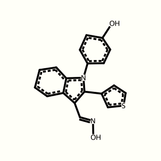 O/N=C/c1c(-c2ccsc2)n(-c2ccc(O)cc2)c2ccccc12